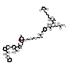 Cc1c(-c2ccc(N3CCc4cccc(C(=O)Nc5nc6ccccc6s5)c4C3)nc2C(=O)O)cnn1CC1CC2(OCCOCCOCCN(C)C(=O)OCc3ccc(NC(=O)[C@H](CCCNC(N)=O)NC(=O)[C@@H](NC(=O)CCCCCN4C(=O)C=CC4=O)C(C)C)cc3)CC3(C)CCC1C(C)(C3)C2